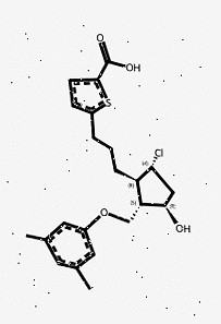 Cc1cc(C)cc(OC[C@@H]2[C@@H](CCCc3ccc(C(=O)O)s3)[C@H](Cl)C[C@H]2O)c1